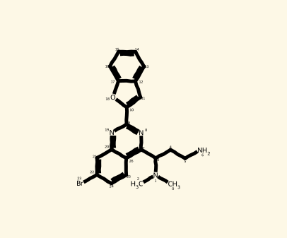 CN(C)C(CCN)c1nc(-c2cc3ccccc3o2)nc2cc(Br)ccc12